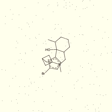 CC1CCCC(CN(C)C23CC(C2)C3)C1(O)c1ccc(Br)s1